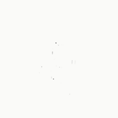 C=C/N=C(/N)C(/B=C\NCC)=C(C)C